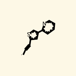 [CH2]C#Cc1cc(-c2ccccn2)cs1